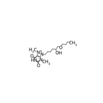 CCCCOCC(O)CCCCN1CN(C)c2c1n(C)c(=O)[nH]c2=O